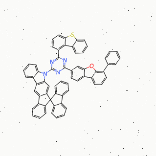 c1ccc(-c2cccc3c2oc2cc(-c4nc(-c5cccc6sc7ccccc7c56)nc(-n5c6ccccc6c6cc7c(cc65)C5(c6ccccc6-c6ccccc65)c5ccccc5-7)n4)ccc23)cc1